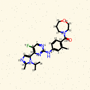 Cc1cc(Nc2ncc(F)c(-c3cnc(C)n3C(C)C)n2)ccc1C(=O)N1CCCOCC1